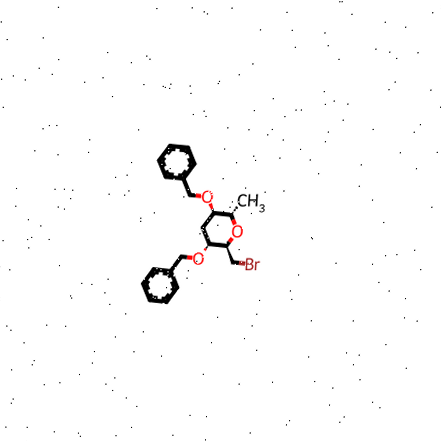 C[C@@H]1O[C@@H](CBr)[C@H](OCc2ccccc2)C[C@H]1OCc1ccccc1